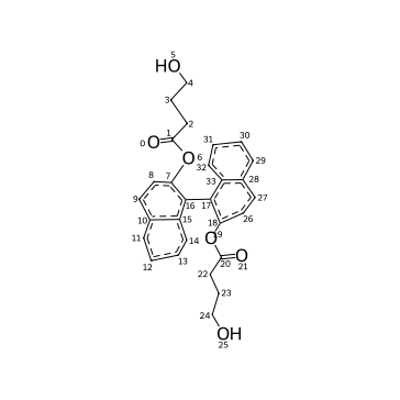 O=C(CCCO)Oc1ccc2ccccc2c1-c1c(OC(=O)CCCO)ccc2ccccc12